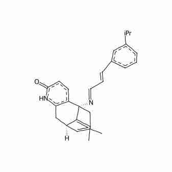 C/C=C1\[C@H]2C=C(C)C[C@]1(N=CC=Cc1cccc(C(C)C)c1)c1ccc(=O)[nH]c1C2